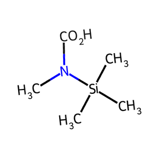 CN(C(=O)O)[Si](C)(C)C